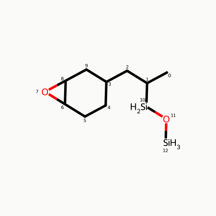 CC(CC1CCC2OC2C1)[SiH2]O[SiH3]